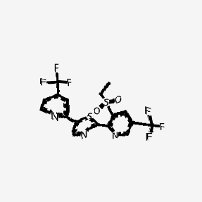 CCS(=O)(=O)c1cc(C(F)(F)F)cnc1-c1ncc(-c2cc(C(F)(F)F)ccn2)s1